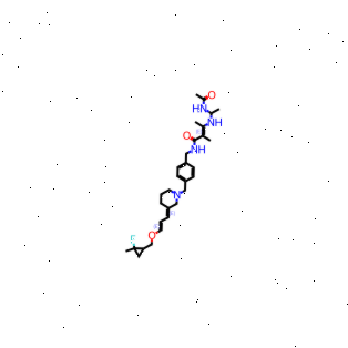 CC(=O)NC(C)N/C(C)=C(\C)C(=O)NCc1ccc(CN2CCC/C(=C\C=C\OCC3CC3(C)F)C2)cc1